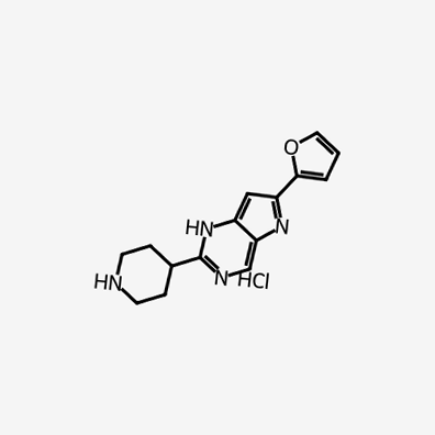 Cl.c1coc(-c2cc3[nH]c(C4CCNCC4)ncc-3n2)c1